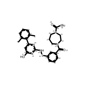 Cc1cccc(C)c1-c1cc(O)nc(NSc2cccc(C(=O)N3CCCN(C(=O)C(C)(C)C)CC3)c2)n1